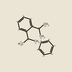 CC(C)c1ccccc1C(C)C.c1ccccc1